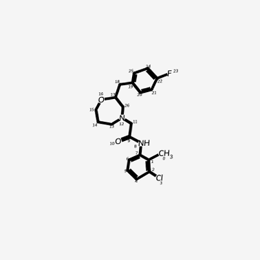 Cc1c(Cl)cccc1NC(=O)CN1CCCOC(Cc2ccc(F)cc2)C1